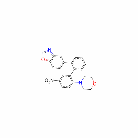 O=[N+]([O-])c1ccc(N2CCOCC2)c(-c2ccccc2-c2ccc3ocnc3c2)c1